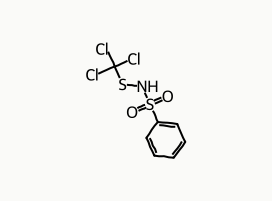 O=S(=O)(NSC(Cl)(Cl)Cl)c1ccccc1